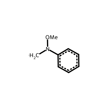 [CH2]N(OC)c1ccccc1